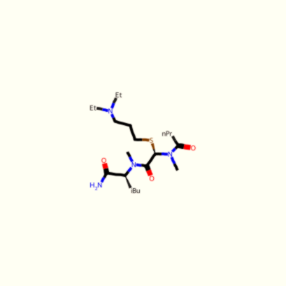 CCCC(=O)N(C)[C@H](SCCCN(CC)CC)C(=O)N(C)[C@H](C(N)=O)C(C)CC